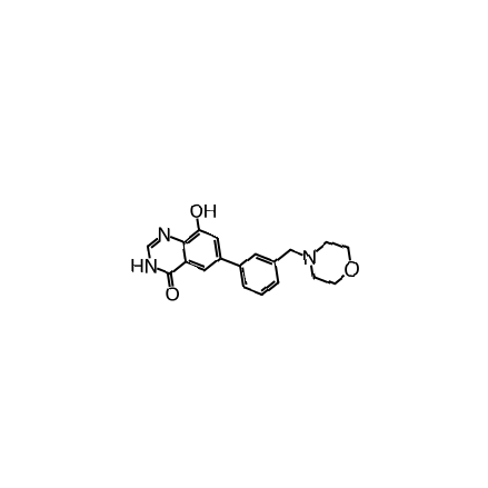 O=c1[nH]cnc2c(O)cc(-c3cccc(CN4CCOCC4)c3)cc12